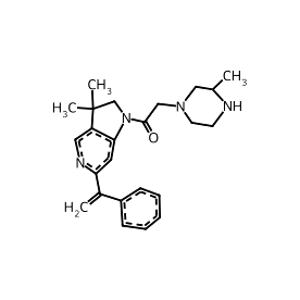 C=C(c1ccccc1)c1cc2c(cn1)C(C)(C)CN2C(=O)CN1CCNC(C)C1